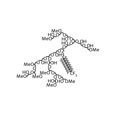 COCC(O)COCC(O)COC(COCC(O)COCC(COCC(O)COC)OC)COCC(O)COC(COCC(O)COCC(COCC(O)COCC(COCC(COC)OCC(O)COC)OC)OCC(O)COCC(COCC(COCC(O)COC)OCC(O)COC)OC)CSCCC(F)(F)C(F)(F)C(F)(F)C(F)(F)C(F)(F)C(F)(F)C(F)(F)C(F)(F)F